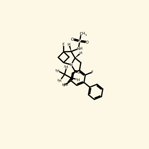 [2H]C([2H])([2H])C([2H])(O)C(=O)N1C2CC(F)(C2)[C@H](NS(C)(=O)=O)[C@@H]1Cc1cc(F)cc(-c2ccccc2)c1F